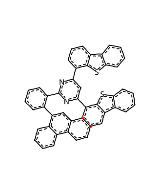 c1ccc(-c2cc3ccccc3c3ccccc23)c(-c2nc(-c3cccc4c3sc3ccccc34)cc(-c3cccc4c3sc3ccccc34)n2)c1